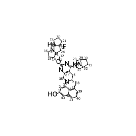 Oc1cc(N2CCc3c(nc(OC[C@]45CCCN4[C@H]4CCC[C@@]4(F)C5)nc3N3CC4CCC(C3)N4)C2)c2c(I)cccc2c1